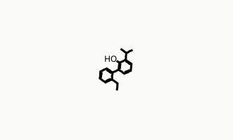 CCc1ccccc1-c1cccc(C(C)C)c1O